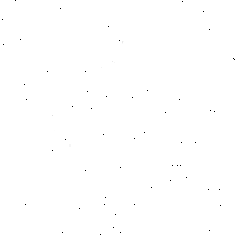 COc1cc(CC(=O)Nc2nnc(CCCCc3ccc(NC(=O)Cc4ccccc4)n3C)s2)ccc1F